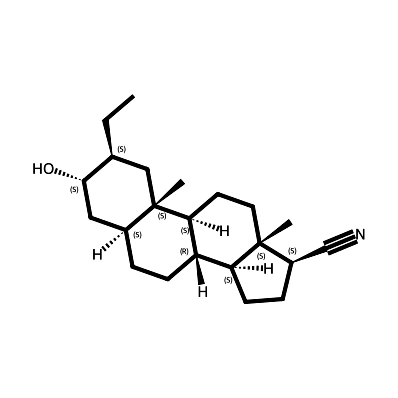 CC[C@H]1C[C@@]2(C)[C@@H](CC[C@@H]3[C@@H]2CC[C@]2(C)[C@@H](C#N)CC[C@@H]32)C[C@@H]1O